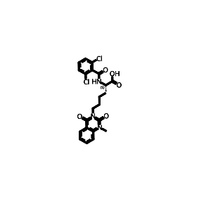 Cn1c(=O)n(CCCC[C@H](NC(=O)c2c(Cl)cccc2Cl)C(=O)O)c(=O)c2ccccc21